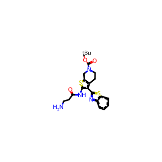 CC(C)(C)OC(=O)N1CCc2c(sc(NC(=O)CCN)c2-c2nc3ccccc3s2)C1